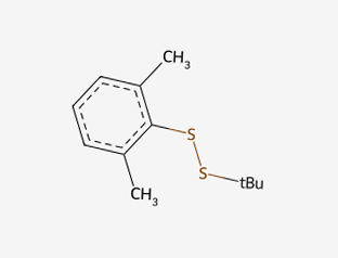 Cc1cccc(C)c1SSC(C)(C)C